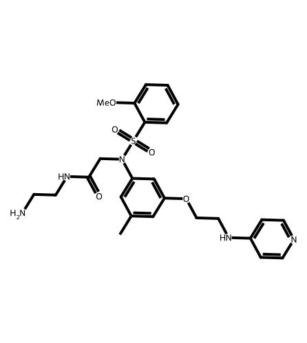 COc1ccccc1S(=O)(=O)N(CC(=O)NCCN)c1cc(C)cc(OCCNc2ccncc2)c1